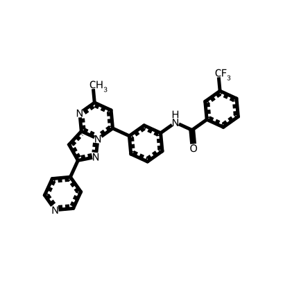 Cc1cc(-c2cccc(NC(=O)c3cccc(C(F)(F)F)c3)c2)n2nc(-c3ccncc3)cc2n1